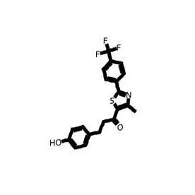 Cc1nc(-c2ccc(C(F)(F)F)cc2)sc1C(=O)CCc1ccc(O)cc1